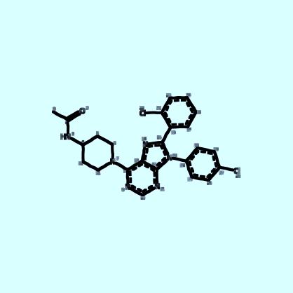 CC(=O)NC1CCN(c2ncnc3c2nc(-c2ccccc2Cl)n3-c2ccc(Cl)cc2)CC1